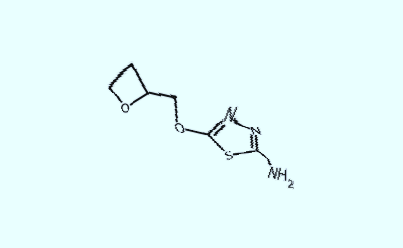 Nc1nnc(OCC2CCO2)s1